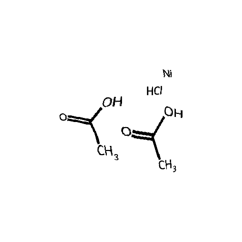 CC(=O)O.CC(=O)O.Cl.[Ni]